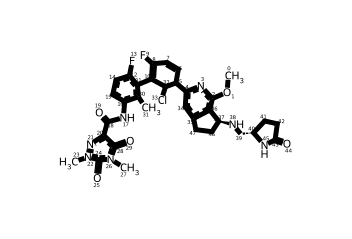 COc1nc(C2C=CC(F)=C(c3c(F)ccc(NC(=O)c4nn(C)c(=O)n(C)c4=O)c3C)C2Cl)cc2c1[C@@H](NC[C@@H]1CCC(=O)N1)CC2